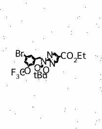 CCOC(=O)c1cnc(N(Cc2cc(Br)cc(OC(F)(F)F)c2)C(=O)OC(C)(C)C)nc1